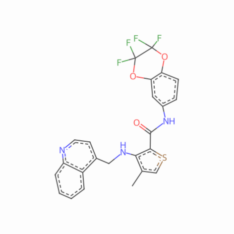 Cc1csc(C(=O)Nc2ccc3c(c2)OC(F)(F)C(F)(F)O3)c1NCc1ccnc2ccccc12